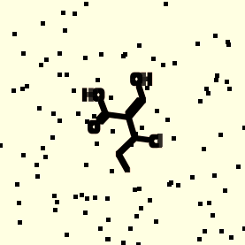 CCC(Cl)C(=CO)C(=O)O